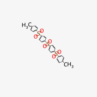 Cc1ccc(S(=O)(=O)c2ccc(S(=O)(=O)c3ccc(S(=O)(=O)c4ccc(C)cc4)cc3)cc2)cc1